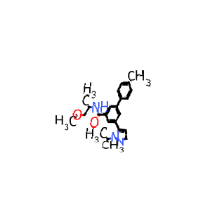 COCC(C)NC(=O)c1cc(-c2ccc(C)cc2)cc(-c2ccnn2C(C)C)c1